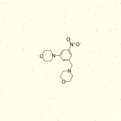 O=[N+]([O-])c1cc(CN2CCOCC2)cc(N2CCOCC2)c1